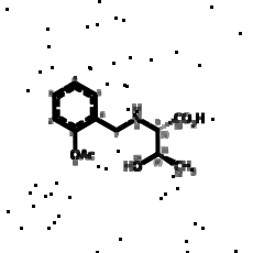 CC(=O)Oc1ccccc1CN[C@H](C(=O)O)[C@@H](C)O